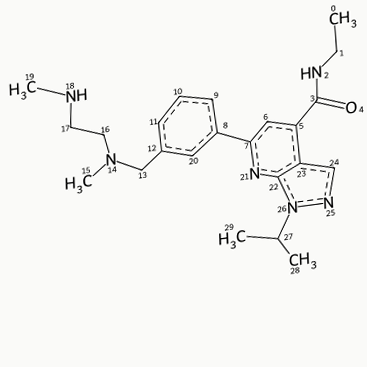 CCNC(=O)c1cc(-c2cccc(CN(C)CCNC)c2)nc2c1cnn2C(C)C